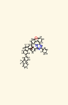 CC1(C)c2ccccc2-c2ccc(-c3ccc4c(c3)-c3ccc(-c5ccc6oc7cccc(-c8nc(-c9ccccc9)nc(-c9ccccc9)n8)c7c6c5)cc3C4(C)C)cc21